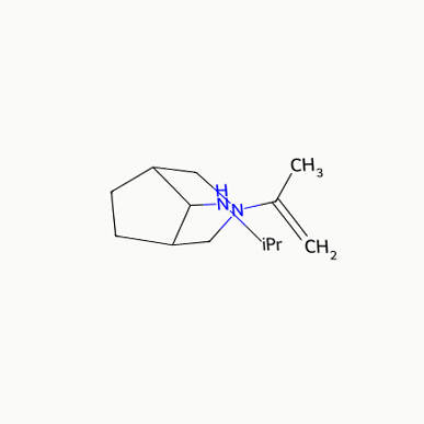 C=C(C)N1CC2CCC(C1)C2NC(C)C